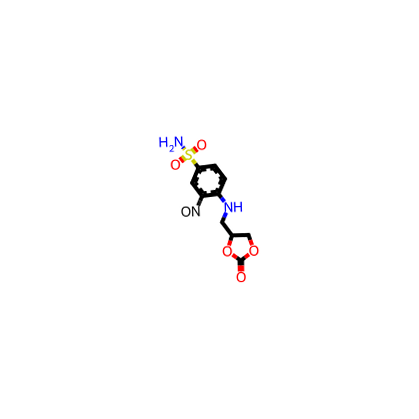 NS(=O)(=O)c1ccc(NCC2COC(=O)O2)c(N=O)c1